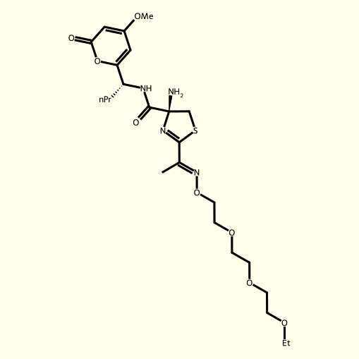 CCC[C@@H](NC(=O)[C@]1(N)CSC(/C(C)=N/OCCOCCOCCOCC)=N1)c1cc(OC)cc(=O)o1